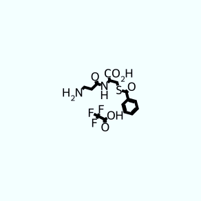 NCCC(=O)NC(CSC(=O)c1ccccc1)C(=O)O.O=C(O)C(F)(F)F